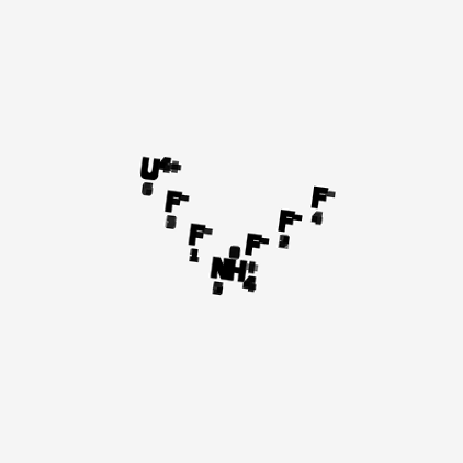 [F-].[F-].[F-].[F-].[F-].[NH4+].[U+4]